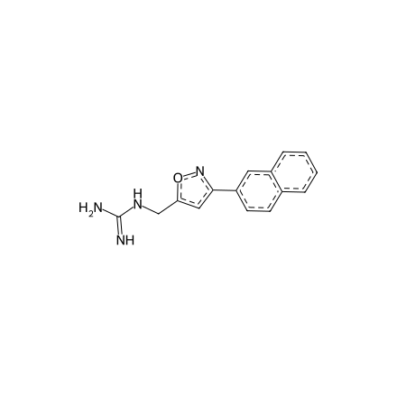 N=C(N)NCc1cc(-c2ccc3ccccc3c2)no1